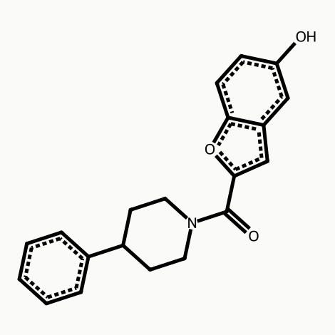 O=C(c1cc2cc(O)ccc2o1)N1CCC(c2ccccc2)CC1